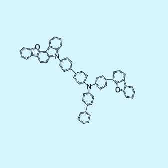 c1ccc(-c2ccc(N(c3ccc(-c4ccc(-n5c6ccccc6c6c7oc8ccccc8c7ccc65)cc4)cc3)c3ccc(-c4cccc5c4oc4ccccc45)cc3)cc2)cc1